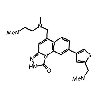 CNCCN(C)Cc1cc2n[nH]c(=O)n2c2cc(-c3csc(CNC)c3)ccc12